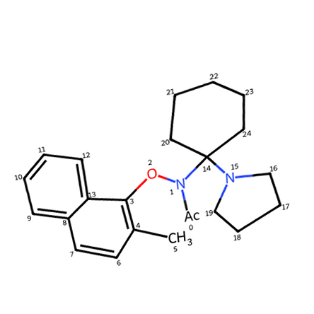 CC(=O)N(Oc1c(C)ccc2ccccc12)C1(N2CCCC2)CCCCC1